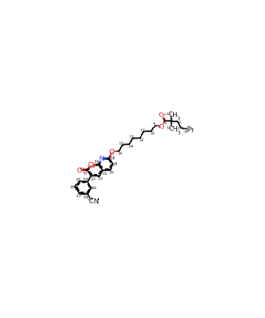 CC(C)CCC(C)(C)C(=O)OCCCCCCCCOc1ccc2cc(-c3cccc(C#N)c3)c(=O)oc2n1